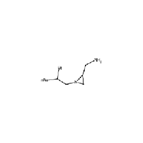 CCCCC(CC)CN1CC1CN